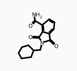 NC(=O)c1cccc2c1C(=O)N(CC1CCCCC1)C2=O